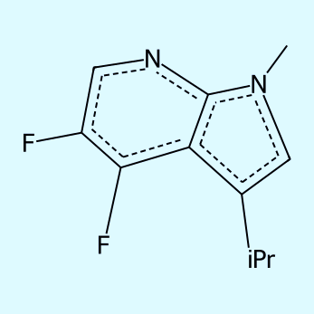 CC(C)c1cn(C)c2ncc(F)c(F)c12